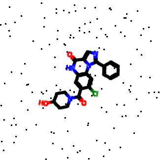 O=C(c1cc2[nH]c(=O)c3cnc(-c4ccccc4)n3c2cc1Cl)N1CCC(O)CC1